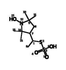 CC(SS(=O)(=O)O)C1CC(C)(C)N(O)C1(C)C